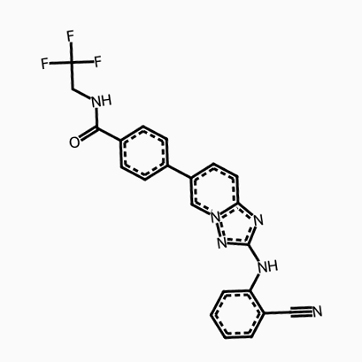 N#Cc1ccccc1Nc1nc2ccc(-c3ccc(C(=O)NCC(F)(F)F)cc3)cn2n1